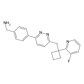 NCc1ccc(-c2ccc([CH]C3(c4ncccc4F)CCC3)nn2)cc1